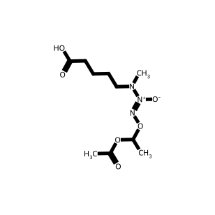 CC(=O)OC(C)O/N=[N+](\[O-])N(C)CCCCC(=O)O